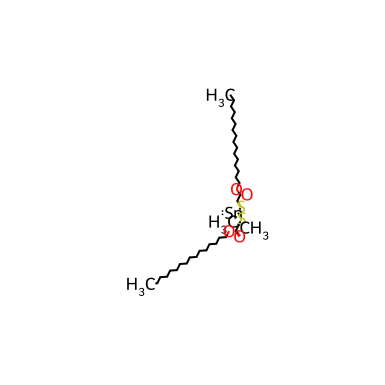 CCCCCCCCCCCCCCCCOC(=O)C[S][Sn][S]C(C)(C)C(=O)OCCCCCCCCCCCCCCCC